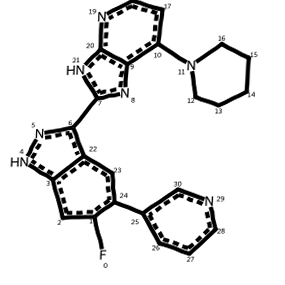 Fc1cc2[nH]nc(-c3nc4c(N5CCCCC5)ccnc4[nH]3)c2cc1-c1cccnc1